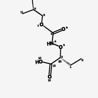 CC[C@@H](ONC(=O)OCC(C)C)C(=O)O